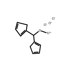 [Cl-].[Cl-].[Cl-].[Ti+3][O]C(C1=CC=CC1)C1=CC=CC1